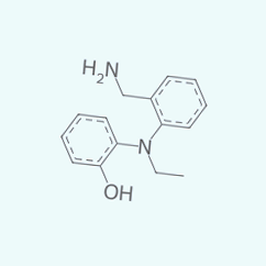 CCN(c1ccccc1O)c1ccccc1CN